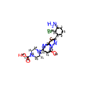 Nc1cccc(-c2nn3c(=O)cc(N4CCN(C(=O)O)CC4)nc3s2)c1Br